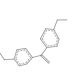 C=C(c1ccc(CC)cc1)c1ccc(CC)cc1